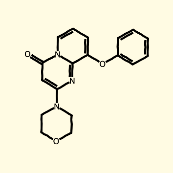 O=c1cc(N2CCOCC2)nc2c(Oc3ccccc3)cccn12